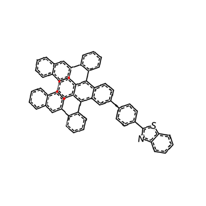 c1ccc(-c2c3ccccc3c(-c3ccccc3-c3ccc4ccccc4c3)c3cc(-c4ccc(-c5nc6ccccc6s5)cc4)ccc23)c(-c2ccc3ccccc3c2)c1